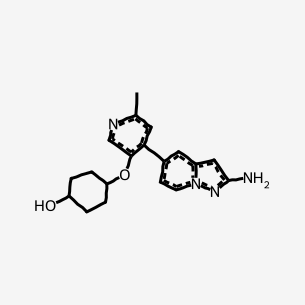 Cc1cc(-c2ccn3nc(N)cc3c2)c(OC2CCC(O)CC2)cn1